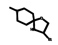 CCC1COC2(CCN(C)CC2)N1